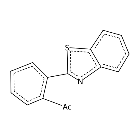 CC(=O)c1ccccc1-c1nc2ccccc2s1